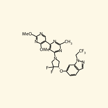 COc1ncc(-c2cc(N3C[C@H](Oc4ccc5cnn(CC(F)(F)F)c5c4)C(F)(F)C3)nc(C)n2)c(OC)n1